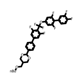 CCCCOCC1COC(c2ccc(-c3cc(F)c(C(F)(F)Oc4cc(F)c(-c5ccc(F)c(F)c5)c(F)c4)c(F)c3)cc2)OC1